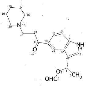 CC(OC=O)c1c[nH]c2ccc(C(=O)CCN3CCCCC3)cc12